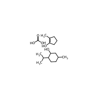 CC1=C(O)CCC1.CC1CCC(C(C)C)C(O)C1.O=C(O)O